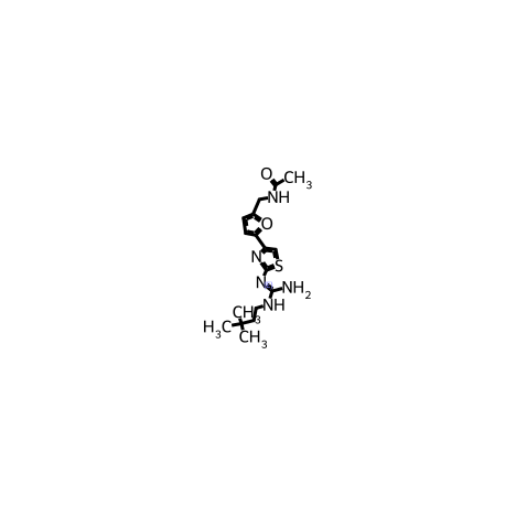 CC(=O)NCc1ccc(-c2csc(/N=C(\N)NCCC(C)(C)C)n2)o1